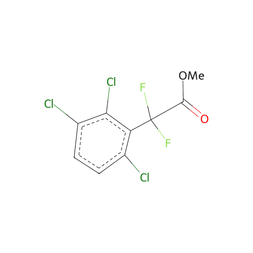 COC(=O)C(F)(F)c1c(Cl)ccc(Cl)c1Cl